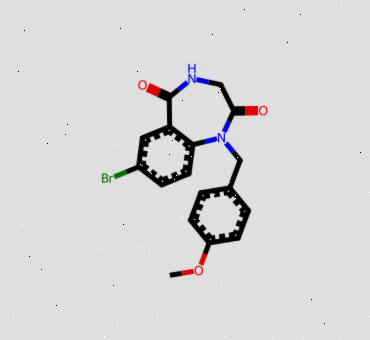 COc1ccc(CN2C(=O)CNC(=O)c3cc(Br)ccc32)cc1